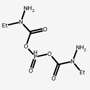 CCN(N)C(=O)O[PH](=O)OC(=O)N(N)CC